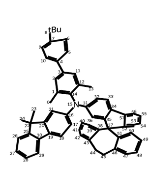 Cc1cc(-c2ccc(C(C)(C)C)cc2)cc(C)c1N(c1ccc2c(c1)C(C)(C)c1ccccc1-2)c1ccc2c(c1)C1(c3ccccc3CCc3ccccc31)c1ccccc1-2